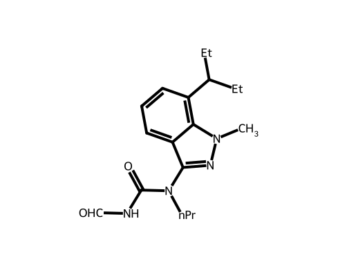 CCCN(C(=O)NC=O)c1nn(C)c2c(C(CC)CC)cccc12